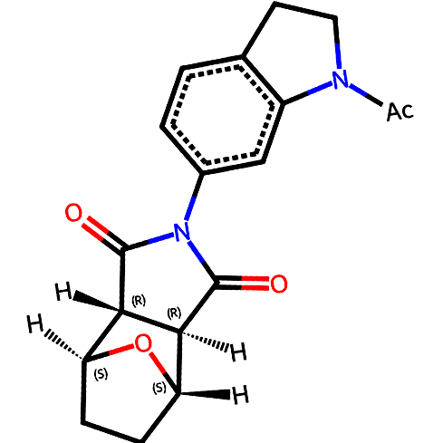 CC(=O)N1CCc2ccc(N3C(=O)[C@@H]4[C@@H](C3=O)[C@@H]3CC[C@@H]4O3)cc21